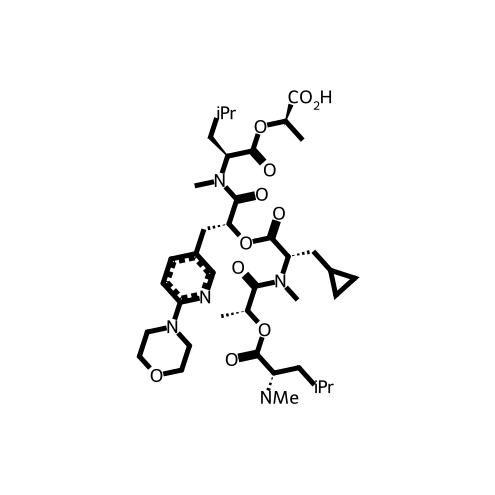 CN[C@@H](CC(C)C)C(=O)O[C@H](C)C(=O)N(C)[C@@H](CC1CC1)C(=O)O[C@H](Cc1ccc(N2CCOCC2)nc1)C(=O)N(C)[C@@H](CC(C)C)C(=O)O[C@H](C)C(=O)O